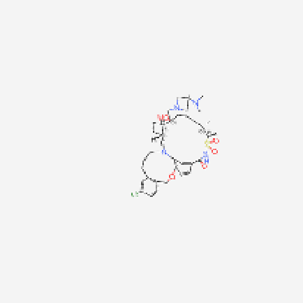 C[C@@H]1[C@@H](C)CCC[C@@](O)(CN2CC(C)(N(C)C)C2)[C@@H]2CC[C@H]2CN2CCCCc3cc(Cl)ccc3COc3ccc(cc32)C(=O)NS1(=O)=O